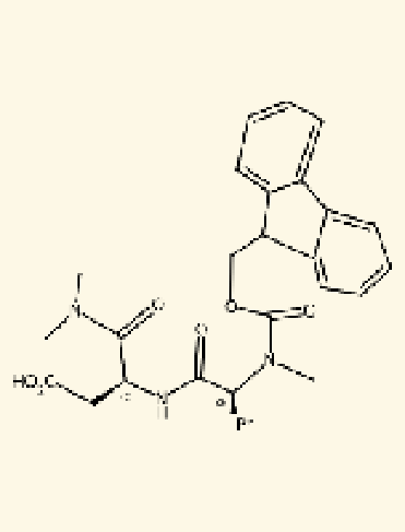 CC(C)[C@@H](C(=O)N[C@@H](CC(=O)O)C(=O)N(C)C)N(C)C(=O)OCC1c2ccccc2-c2ccccc21